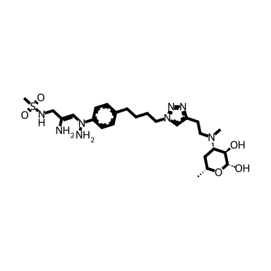 C[C@@H]1C[C@H](N(C)CCc2cn(CCCCc3ccc(N(N)/C=C(\N)CNS(C)(=O)=O)cc3)nn2)[C@@H](O)[C@H](O)O1